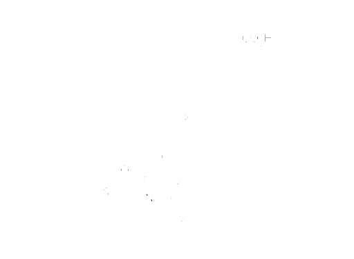 O=C(O)c1ccc(-c2ccc(/C=C3\SC(=S)N(Cc4cccs4)C3=O)s2)cc1